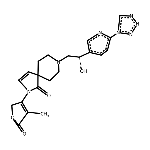 CC1=C(N2C=CC3(CCN(C[C@@H](O)c4ccc(-n5cnnn5)nc4)CC3)C2=O)COC1=O